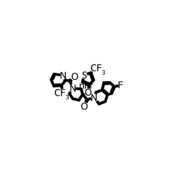 CCC[C@H]1N(C(=O)c2ncccc2C(F)(F)F)CCC[C@]1(Oc1csc(C(F)(F)F)c1)C(=O)N1CCc2cc(F)ccc2C1